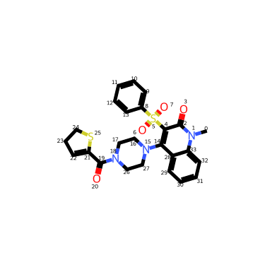 Cn1c(=O)c(S(=O)(=O)c2ccccc2)c(N2CCN(C(=O)C3=CCCS3)CC2)c2ccccc21